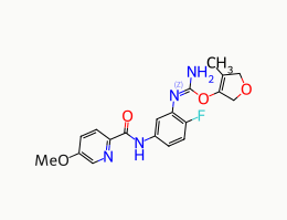 COc1ccc(C(=O)Nc2ccc(F)c(/N=C(/N)OC3=C(C)COC3)c2)nc1